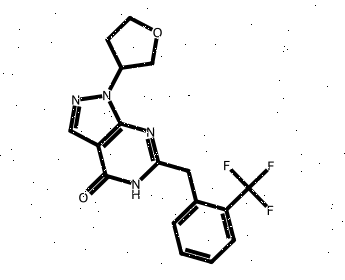 O=c1[nH]c(Cc2ccccc2C(F)(F)F)nc2c1cnn2C1CCOC1